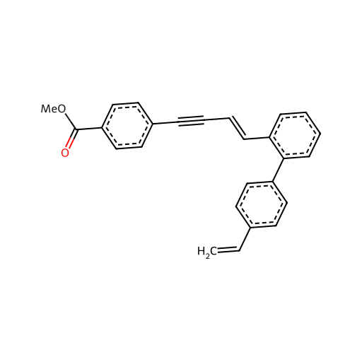 C=Cc1ccc(-c2ccccc2/C=C/C#Cc2ccc(C(=O)OC)cc2)cc1